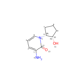 Nc1cccn([C@@H]2CCC[C@@H]2O)c1=O